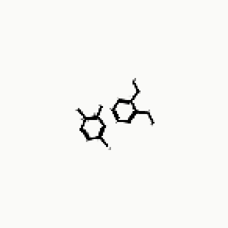 CCc1ccccc1CC.Cc1ccc(C)c(C)c1